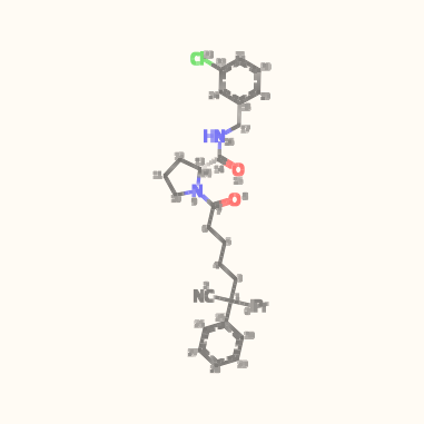 CC(C)C(C#N)(CCCCC(=O)N1CCC[C@@H]1C(=O)NCc1cccc(Cl)c1)c1ccccc1